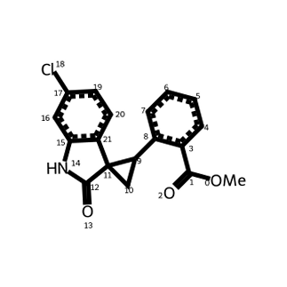 COC(=O)c1ccccc1C1CC12C(=O)Nc1cc(Cl)ccc12